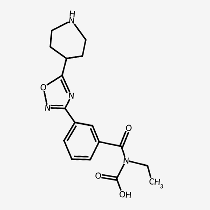 CCN(C(=O)O)C(=O)c1cccc(-c2noc(C3CCNCC3)n2)c1